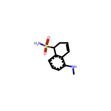 CNc1cccc2c1C=CCC2S(N)(=O)=O